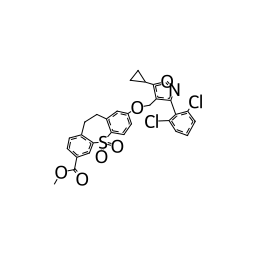 COC(=O)c1ccc2c(c1)S(=O)(=O)c1ccc(OCc3c(-c4c(Cl)cccc4Cl)noc3C3CC3)cc1CC2